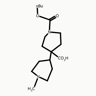 CCCCOC(=O)N1CCC(C(=O)O)(C2CCN(C)CC2)CC1